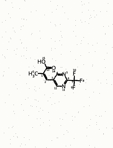 CC(=Cc1cnc(C(F)(F)F)nc1)C(=O)O